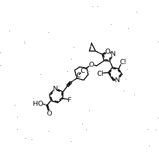 O=C(O)c1cnc(C#CC23CCC(OCc4c(-c5c(Cl)cncc5Cl)noc4C4CC4)(CC2)CC3)c(F)c1